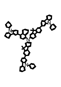 CC1(C)c2cc(-c3ccc4c5ccccc5n(-c5ccccc5)c4c3)ccc2-c2ccc(N(c3ccc4c(c3)C(C)(C)c3cc(-c5ccc6c7ccccc7n(-c7ccccc7)c6c5)ccc3-4)c3ccc(-c4ccc5c(c4)c4ccccc4n5-c4ccccc4)c4ccccc34)cc21